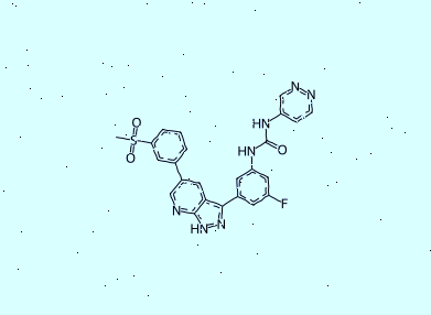 CS(=O)(=O)c1cccc(-c2cnc3[nH]nc(-c4cc(F)cc(NC(=O)Nc5ccnnc5)c4)c3c2)c1